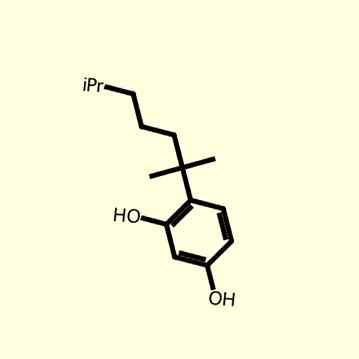 CC(C)CCCC(C)(C)c1ccc(O)cc1O